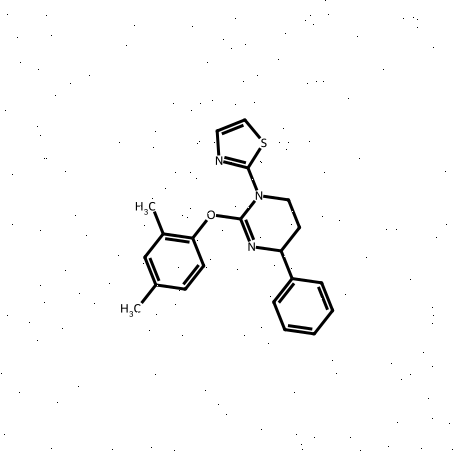 Cc1ccc(OC2=NC(c3ccccc3)CCN2c2nccs2)c(C)c1